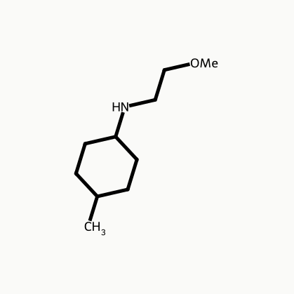 COCCNC1CCC(C)CC1